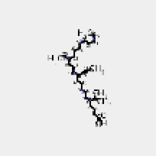 C#[SH](Cl)CCC/C(=C/C=C/CC/C(C#CC)=C/CC/C(=C\C)CCC/C=C\C/C=C\C)C(C)C